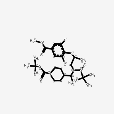 COC(=O)c1cc(F)c(OC(C)CN(C(C)C2CCN(C(=O)OC(C)(C)C)CC2)[S@@+]([O-])C(C)(C)C)c(Br)c1